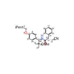 CCCC(C)COc1ccc([C@@H](NC(=O)[C@@H](CC#N)c2ccccc2)C(C)(C)OC)cc1